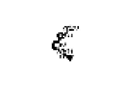 CC(C)(C)OC(=O)N1CC=C(c2cccc3nc(NC(=O)C4CC4)nn23)C1